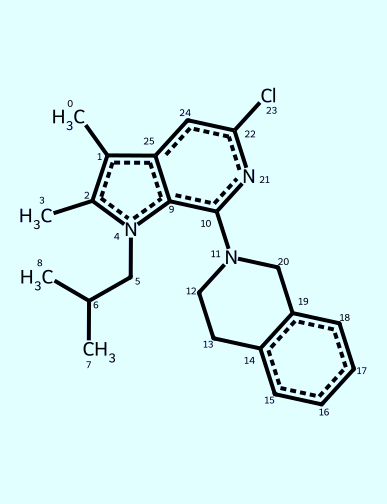 Cc1c(C)n(CC(C)C)c2c(N3CCc4ccccc4C3)nc(Cl)cc12